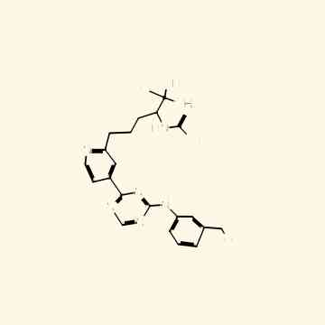 CC(C)(C)C(CCCc1cc(-c2ncnc(Nc3cccc(CO)c3)n2)ccn1)NC(=O)O